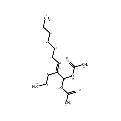 CCCCCC/C=C(\CCC)C(OC(C)=O)OC(C)=O